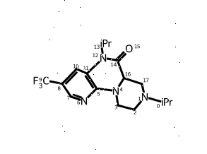 CC(C)N1CCN2c3ncc(C(F)(F)F)cc3N(C(C)C)C(=O)C2C1